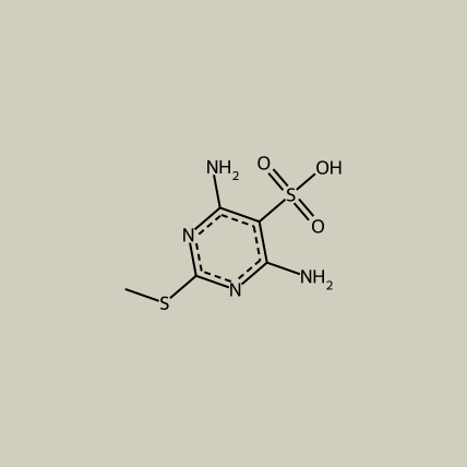 CSc1nc(N)c(S(=O)(=O)O)c(N)n1